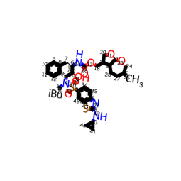 CCC(C)CN(C[C@@H](O)[C@H](Cc1ccccc1)NC(=O)OCC1COC2OCC(C)CCC12)S(=O)(=O)c1ccc2nc(NC3CC3)sc2c1